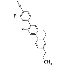 CCCc1ccc2c(c1)CCc1cc(-c3ccc(C#N)c(F)c3)c(F)cc1-2